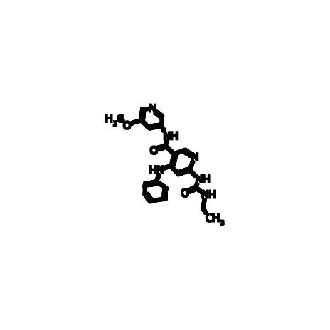 CCNC(=O)Nc1cc(Nc2ccccc2)c(C(=O)Nc2cncc(OC)c2)cn1